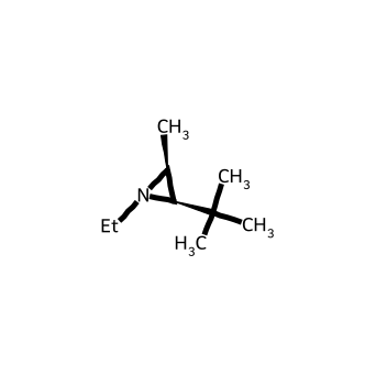 CCN1[C@H](C(C)(C)C)[C@@H]1C